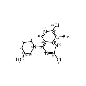 O[C@H]1CCCN(c2nc(Cl)nc3c(F)c(Cl)ncc23)C1